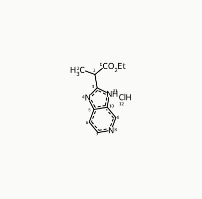 CCOC(=O)C(C)c1nc2ccncc2[nH]1.Cl